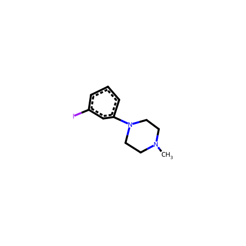 CN1CCN(c2cccc(I)c2)CC1